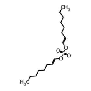 CCCCCCC=COS(=O)(=O)OC=CCCCCCC